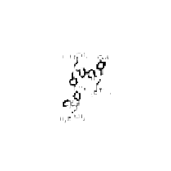 CN(C)CCN(Cc1ccccc1)c1ccccn1.COc1ccc(CN(CCN(C)C)c2ccccn2)cc1.COc1ccc(CN(CCN(C)C)c2ncccn2)cc1